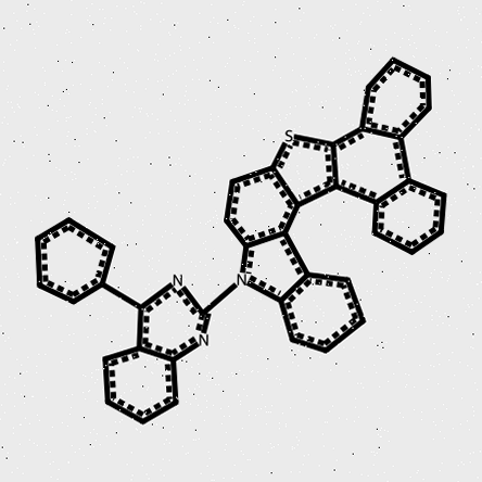 c1ccc(-c2nc(-n3c4ccccc4c4c5c(ccc43)sc3c4ccccc4c4ccccc4c35)nc3ccccc23)cc1